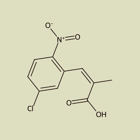 CC(=Cc1cc(Cl)ccc1[N+](=O)[O-])C(=O)O